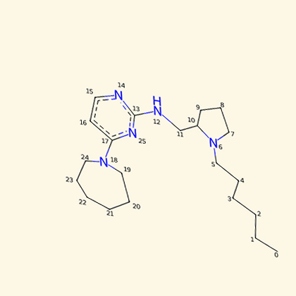 CCCCCCN1CCCC1CNc1nccc(N2CCCCCC2)n1